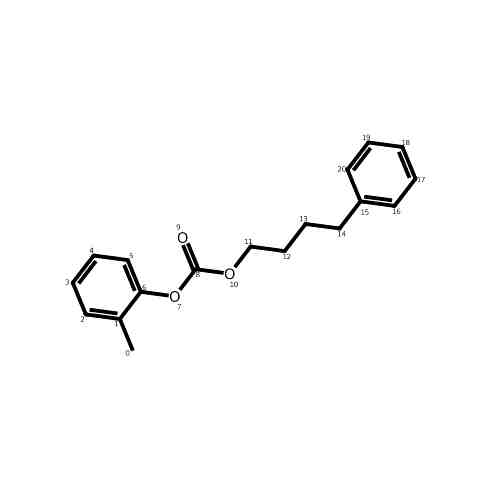 Cc1ccccc1OC(=O)OCCCCc1ccccc1